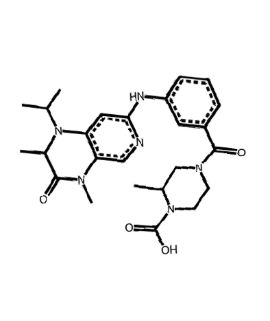 CC1CN(C(=O)c2cccc(Nc3cc4c(cn3)N(C)C(=O)C(C)N4C(C)C)c2)CCN1C(=O)O